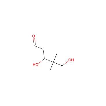 CC(C)(CO)C(O)C[C]=O